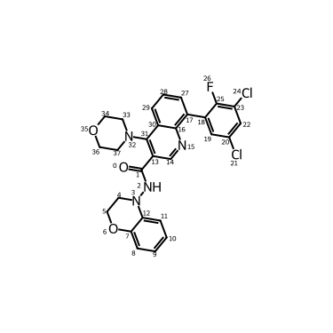 O=C(NN1CCOc2ccccc21)c1cnc2c(-c3cc(Cl)cc(Cl)c3F)cccc2c1N1CCOCC1